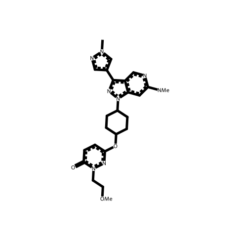 CNc1cc2c(cn1)c(-c1cnn(C)c1)nn2C1CCC(Oc2ccc(=O)n(CCOC)n2)CC1